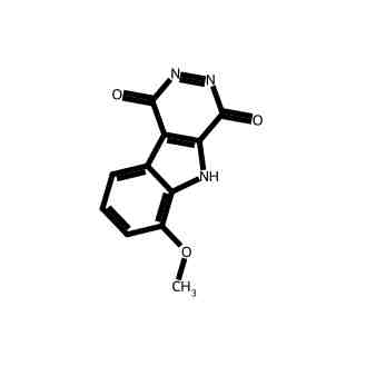 COc1cccc2c3c([nH]c12)C(=O)N=NC3=O